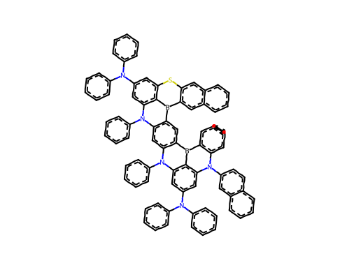 c1ccc(N(c2ccccc2)c2cc3c4c(c2)N(c2ccccc2)c2cc5c(cc2B4c2cc4ccccc4cc2S3)B2c3cc4ccccc4cc3N(c3ccc4ccccc4c3)c3cc(N(c4ccccc4)c4ccccc4)cc(c32)N5c2ccccc2)cc1